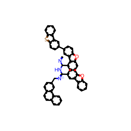 C=NC(N/C(=N\Cc1ccc2ccc3ccccc3c2c1)c1ccc2oc3ccccc3c2c1)c1cccc2oc3ccc(-c4ccc5sc6ccccc6c5c4)cc3c12